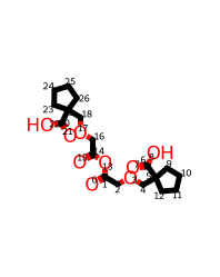 O=C(COCC1(C(=O)O)CCCC1)OC(=O)COCC1(C(=O)O)CCCC1